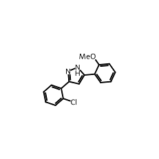 COc1ccccc1-c1cc(-c2ccccc2Cl)n[nH]1